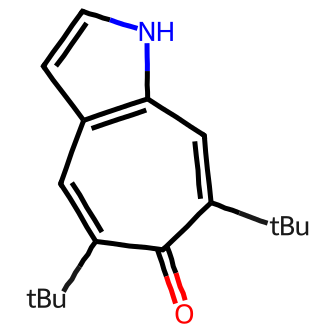 CC(C)(C)c1cc2cc[nH]c2cc(C(C)(C)C)c1=O